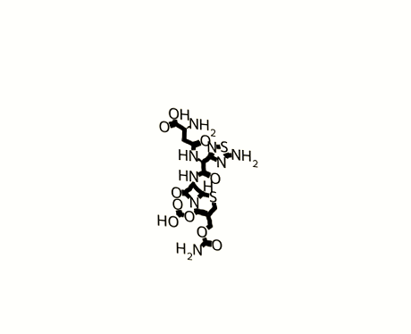 NC(=O)OCC1=C(OC(=O)O)N2C(=O)[C@@H](NC(=O)[C@@H](NC(=O)C[C@@H](N)C(=O)O)c3nsc(N)n3)[C@@H]2SC1